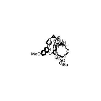 COc1ccc2c(O[C@@H]3C[C@H]4C(=O)N[C@]5(C(=O)NS(=O)(=O)C6CC6)C[C@H]5CCCCCSC[C@H](NC(=O)OC(C)(C)C)C(=O)N4C3)nc(N3CCOCC3)cc2c1